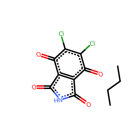 CCCC.O=c1[nH]c(=O)c2c(=O)c(Cl)c(Cl)c(=O)c1=2